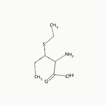 CCSC(CC)C(N)C(=O)O